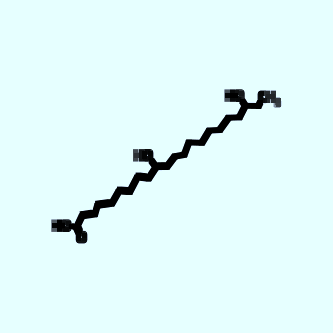 CCC(O)CCCCCCCCC=C(O)C=CC=CC=CC=CC(=O)O